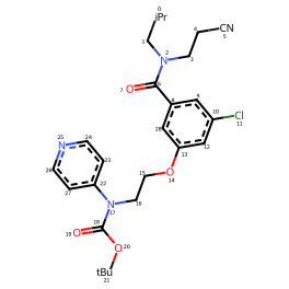 CC(C)CN(CCC#N)C(=O)c1cc(Cl)cc(OCCN(C(=O)OC(C)(C)C)c2ccncc2)c1